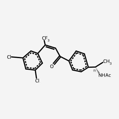 CC(=O)N[C@@H](C)c1ccc(C(=O)C=C(c2cc(Cl)cc(Cl)c2)C(F)(F)F)cc1